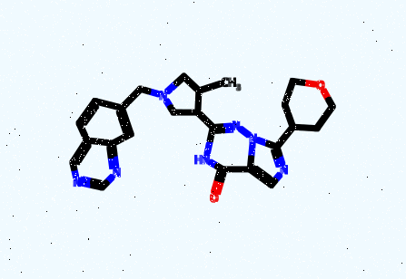 CC1CN(Cc2ccc3cncnc3c2)CC1c1nn2c(C3CCOCC3)ncc2c(=O)[nH]1